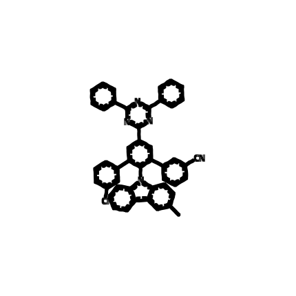 Cc1ccc2c(c1)c1ccccc1n2-c1c(-c2cccc(C#N)c2)cc(-c2nc(-c3ccccc3)nc(-c3ccccc3)n2)cc1-c1cccc(C#N)c1